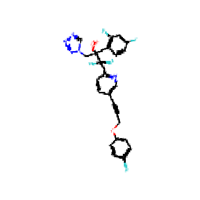 OC(Cn1cnnn1)(c1ccc(F)cc1F)C(F)(F)c1ccc(C#CCOc2ccc(F)cc2)cn1